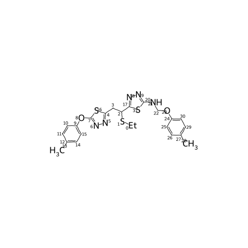 CCSC(Cc1nnc(Oc2ccc(C)cc2)s1)c1nnc(NCOc2ccc(C)cc2)s1